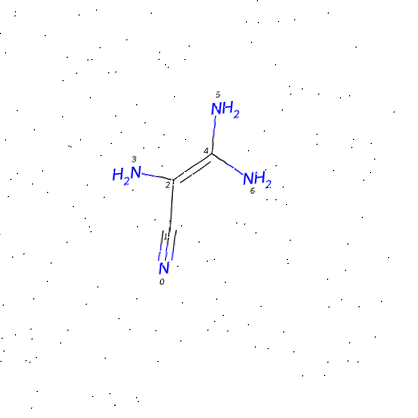 N#CC(N)=C(N)N